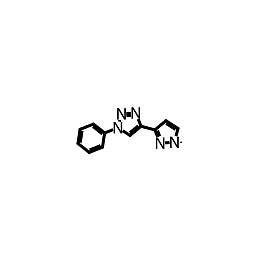 C1=CC(c2cn(-c3ccccc3)nn2)=N[N]1